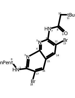 CCCCCNc1nc2nc(NC(=O)CC(C)(C)C)c(Br)cc2cc1Br